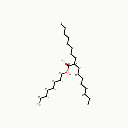 CCCCCCCCC(CCCCCCCC)C(=O)OCCCCCCCBr